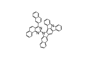 c1ccc2cc(-c3nc(-n4c5cc6ccccc6cc5c5cc6c7ccccc7n7c8ccccc8c(c54)c67)nc4c3ccc3ccccc34)ccc2c1